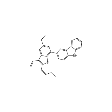 C=Cc1c(/C=C\CC)sc2c(-c3ccc4[nH]c5ccccc5c4c3)cc(CC)cc12